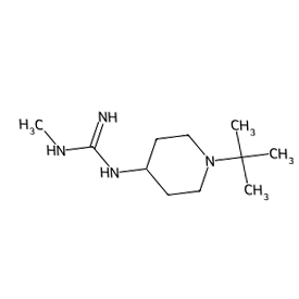 CNC(=N)NC1CCN(C(C)(C)C)CC1